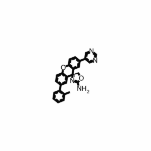 Cc1ccccc1-c1ccc2c(c1)[C@]1(COC(N)=N1)c1cc(-c3cncnc3)ccc1O2